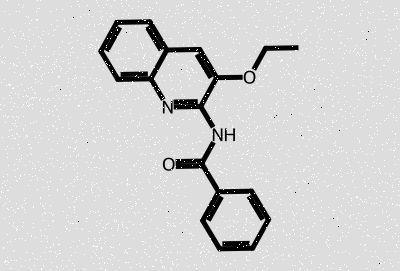 CCOc1cc2ccccc2nc1NC(=O)c1ccccc1